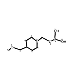 COCC1CCN(COB(O)O)CC1